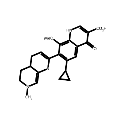 COc1c(C2=CCC3CCN(C)C=C3S2)c(C2CC2)cc2c(=O)c(C(=O)O)c[nH]c12